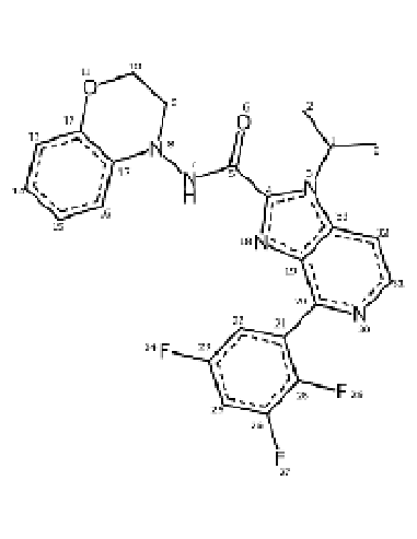 CC(C)n1c(C(=O)NN2CCOc3ccccc32)nc2c(-c3cc(F)cc(F)c3F)nccc21